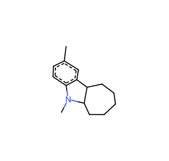 Cc1ccc2c(c1)C1CCCCCC1N2C